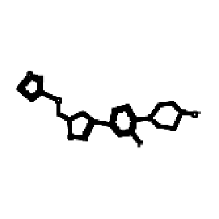 [O-][S+]1CCN(c2ccc(C3=NOC(COc4ccon4)C3)cc2F)CC1